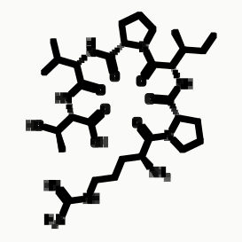 CC[C@H](C)[C@H](NC(=O)[C@@H]1CCCN1C(=O)[C@@H](N)CCCNC(=N)N)C(=O)N1CCC[C@H]1C(=O)N[C@H](C(=O)N[C@H](C(=O)O)[C@@H](C)O)C(C)C